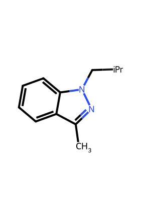 Cc1nn(CC(C)C)c2ccccc12